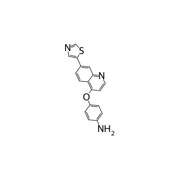 Nc1ccc(Oc2ccnc3cc(-c4cncs4)ccc23)cc1